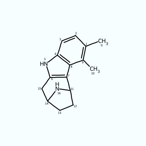 Cc1ccc2[nH]c3c(c2c1C)C1CCC(C3)N1